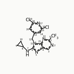 FC(F)(F)c1ncc2nc(NC3CC3)n(Cc3cc(Cl)nc(Cl)c3)c2n1